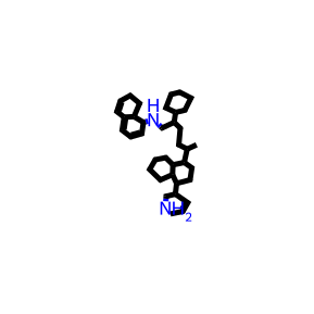 C/C=C\C(CN)C1CCC(C(C)CCC(CNC2C=CC=C3C=CCCC32)C2CCCCC2)C2CCCCC12